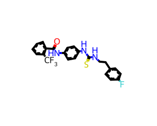 O=C(Nc1ccc(NC(=S)NCCc2ccc(F)cc2)cc1)c1ccccc1C(F)(F)F